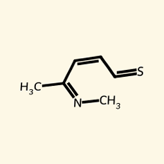 C/N=C(C)\C=C/C=S